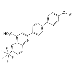 CCCOc1ccc(-c2ccc(-c3cc(C(=O)O)c4cc(S(F)(F)(F)(F)F)ccc4n3)cc2)cc1